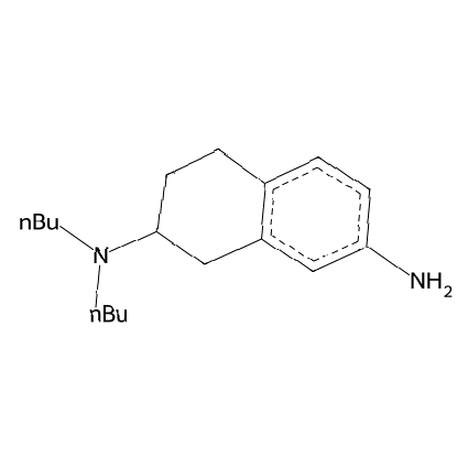 CCCCN(CCCC)C1CCc2ccc(N)cc2C1